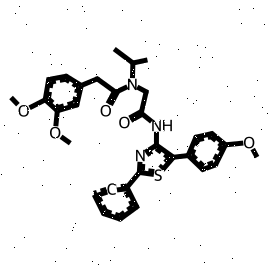 COc1ccc(-c2sc(-c3ccccc3)nc2NC(=O)CN(C(=O)Cc2ccc(OC)c(OC)c2)C(C)C)cc1